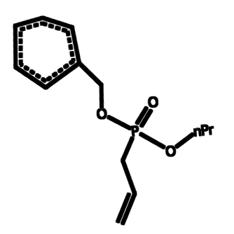 C=CCP(=O)(OCCC)OCc1ccccc1